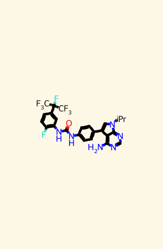 CC(C)n1cc(-c2ccc(NC(=O)Nc3cc(C(F)(C(F)(F)F)C(F)(F)F)ccc3F)cc2)c2c(N)ncnc21